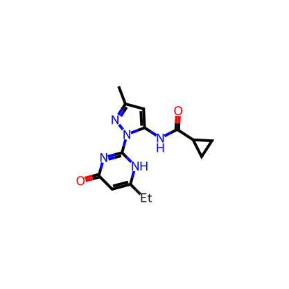 CCc1cc(=O)nc(-n2nc(C)cc2NC(=O)C2CC2)[nH]1